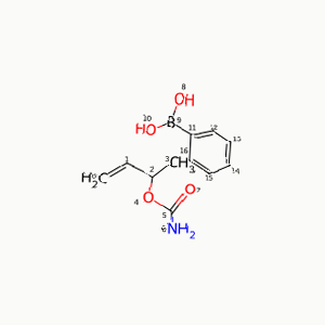 C=CC(C)OC(N)=O.OB(O)c1ccccc1